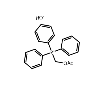 CC(=O)OC[P+](c1ccccc1)(c1ccccc1)c1ccccc1.[OH-]